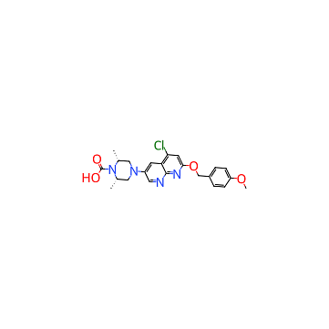 COc1ccc(COc2cc(Cl)c3cc(N4C[C@@H](C)N(C(=O)O)[C@@H](C)C4)cnc3n2)cc1